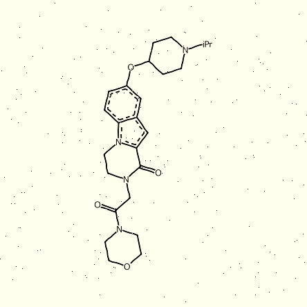 CC(C)N1CCC(Oc2ccc3c(c2)cc2n3CCN(CC(=O)N3CCOCC3)C2=O)CC1